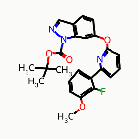 COc1cccc(-c2cccc(Oc3ccc4cnn(C(=O)OC(C)(C)C)c4c3)n2)c1F